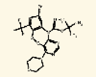 CC(C)(C)OC(=O)N1c2cc(Br)cc(C(F)(F)F)c2OCc2c(N3CCOCC3)ncnc21